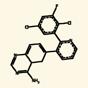 NC1=NC=NC2=CC=C(c3cccnc3-c3cc(Cl)cc(F)c3Cl)CC21